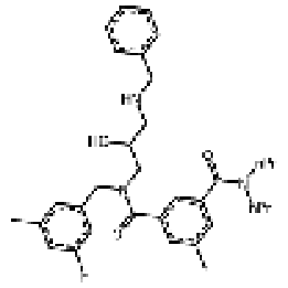 CCCN(CCC)C(=O)c1cc(C)cc(C(=O)N(Cc2cc(F)cc(F)c2)CC(O)CNCc2ccccc2)c1